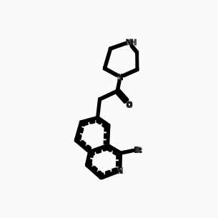 CCc1nccc2ccc(CC(=O)N3CCNCC3)cc12